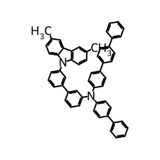 Cc1ccc2c(c1)c1cc(C)ccc1n2-c1cccc(-c2cccc(N(c3ccc(-c4ccccc4)cc3)c3ccc(-c4ccc(-c5ccccc5)cc4)cc3)c2)c1